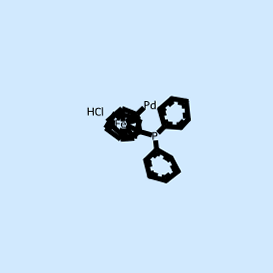 Cl.[Pd][C]12[CH]3[CH]4[CH]5[C]1(P(c1ccccc1)c1ccccc1)[Fe]43521678[CH]2[CH]1[CH]6[CH]7[CH]28